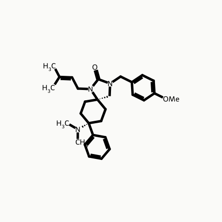 COc1ccc(CN2C[C@]3(CC[C@@](c4ccccc4)(N(C)C)CC3)N(CC=C(C)C)C2=O)cc1